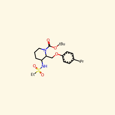 CCS(=O)(=O)NC1CCCN(C(=O)OC(C)(C)C)C1COc1ccc(C(C)C)cc1